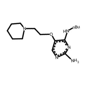 CCCCNc1nc(N)ncc1OCCN1CCCCC1